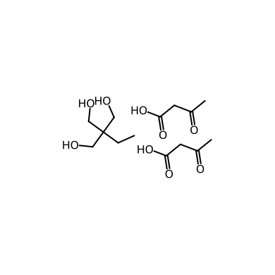 CC(=O)CC(=O)O.CC(=O)CC(=O)O.CCC(CO)(CO)CO